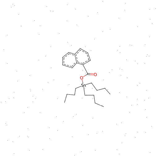 CCC[CH2][Sn]([CH2]CCC)([CH2]CCC)[O]C(=O)c1cccc2ccccc12